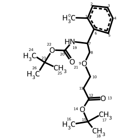 Cc1ccccc1C(COCCC(=O)OC(C)(C)C)NC(=O)OC(C)(C)C